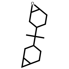 CC(C)(C1CCC2CC2C1)C1CCC2OC2C1